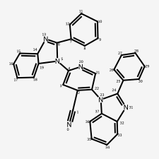 N#Cc1cc(-n2c(-c3ccccc3)nc3ccccc32)ncc1-n1c(-c2ccccc2)nc2ccccc21